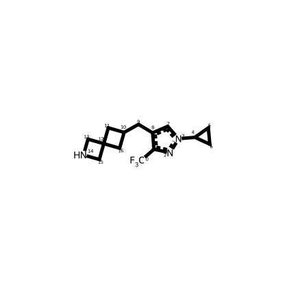 FC(F)(F)c1nn(C2CC2)cc1CC1CC2(CNC2)C1